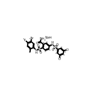 Cc1cc(F)c(Br)cc1NS(=O)(=O)c1ccc(NS(=O)(=O)c2cc(Cl)cc(Cl)c2)cc1C(N)=O.[NaH]